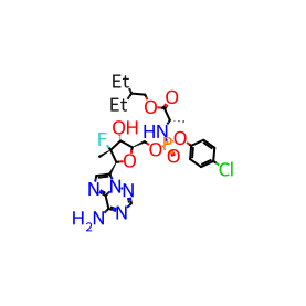 CCC(CC)COC(=O)[C@H](C)NP(=O)(OC[C@H]1O[C@@H](c2cnc3c(N)ncnn23)[C@](C)(F)[C@@H]1O)Oc1ccc(Cl)cc1